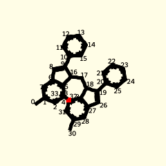 Cc1cc(C)c2c(c1)C=C(c1ccccc1)C2CC1C(c2ccccc2)=Cc2cc(C)cc(C)c21